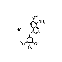 CCOc1ccc2c(Cc3cc(OC)c(OC)c(OC)c3)cncc2c1N.Cl